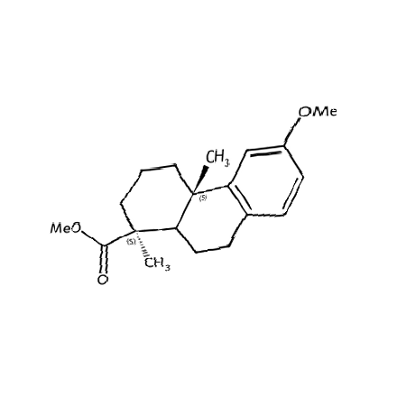 COC(=O)[C@@]1(C)CCC[C@]2(C)c3cc(OC)ccc3CCC12